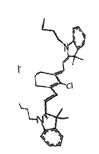 CCCCN1/C(=C/C=C2\CCCC(/C=C/C3=[N+](CCCC)c4ccccc4C3(C)C)=C2Cl)C(C)(C)c2ccccc21.[I-]